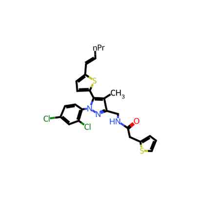 CCCC=Cc1ccc(-c2c(C)c(CNC(=O)Cc3cccs3)nn2-c2ccc(Cl)cc2Cl)s1